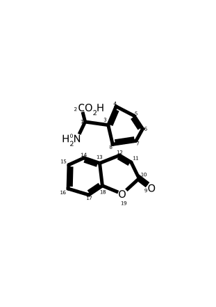 NC(C(=O)O)c1ccccc1.O=c1ccc2ccccc2o1